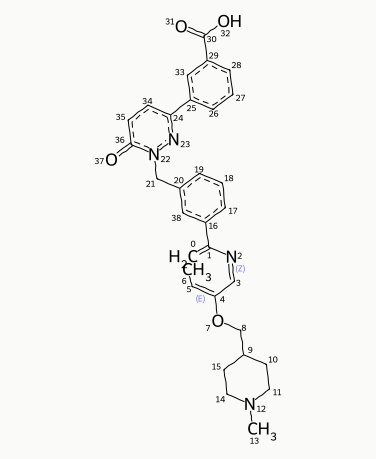 C=C(/N=C\C(=C/C)OCC1CCN(C)CC1)c1cccc(Cn2nc(-c3cccc(C(=O)O)c3)ccc2=O)c1